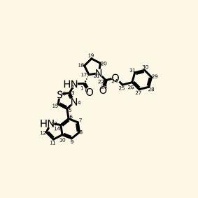 O=C(Nc1nc(-c2cccc3cc[nH]c23)cs1)[C@@H]1CCCN1C(=O)OCc1ccccc1